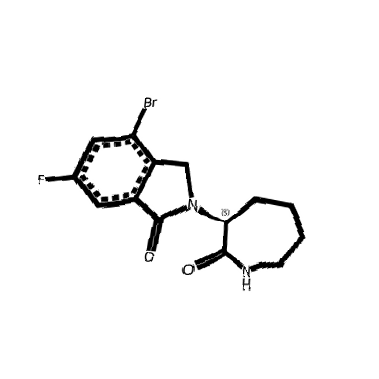 O=C1NCCCC[C@@H]1N1Cc2c(Br)cc(F)cc2C1=O